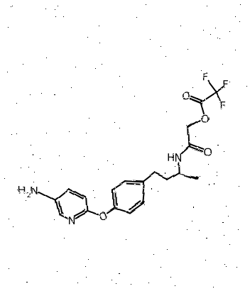 C[C@@H](CCc1ccc(Oc2ccc(N)cn2)cc1)NC(=O)COC(=O)C(F)(F)F